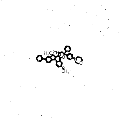 COc1ccc2c3c(c4c(c2c1)OC(c1ccccc1)(c1ccc(N2CCCOCC2)cc1)C=C4)C(C)(C)c1cc(-c2ccccc2)ccc1-3